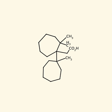 CC1(C)CCCCCC1(CC(=O)O)C1(C)CCCCCC1